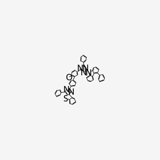 c1ccc(-c2nc(-c3ccc4oc5cc(-c6nc(-c7ccccc7)c7sc8ccccc8c7n6)ccc5c4c3)nc(-n3c4ccccc4c4c(-c5ccccc5)cccc43)n2)cc1